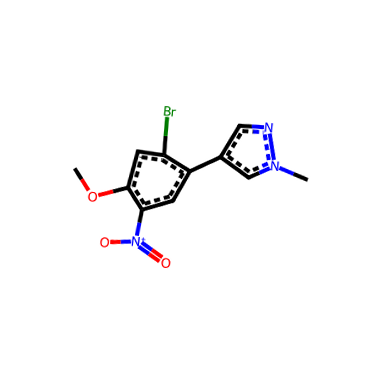 COc1cc(Br)c(-c2cnn(C)c2)cc1[N+](=O)[O-]